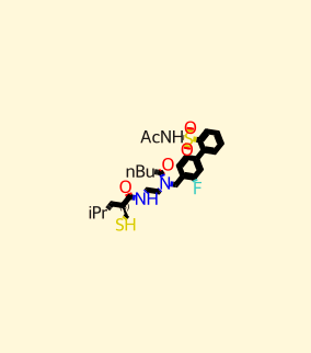 CCCCC(=O)N(CCNC(=O)[C@@H](CS)CC(C)C)Cc1ccc(-c2ccccc2S(=O)(=O)NC(C)=O)cc1F